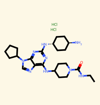 CCNC(=O)N1CCC(Nc2nc(N[C@H]3CC[C@H](N)CC3)nc3c2ncn3C2CCCC2)CC1.Cl.Cl